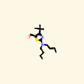 CCCCN(CCCC)c1nc(C(C)(C)C)c(C=O)s1